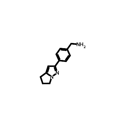 NCc1ccc(-c2cc3n(n2)CCC3)cc1